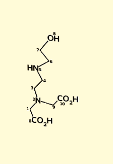 O=C(O)CN(CCNCCO)CC(=O)O